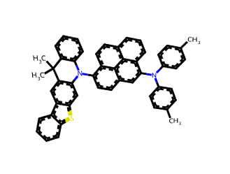 Cc1ccc(N(c2ccc(C)cc2)c2cc3ccc(N4c5ccccc5C(C)(C)c5cc6c(cc54)sc4ccccc46)c4ccc5cccc2c5c34)cc1